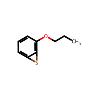 CCCOc1cccc2c1S2